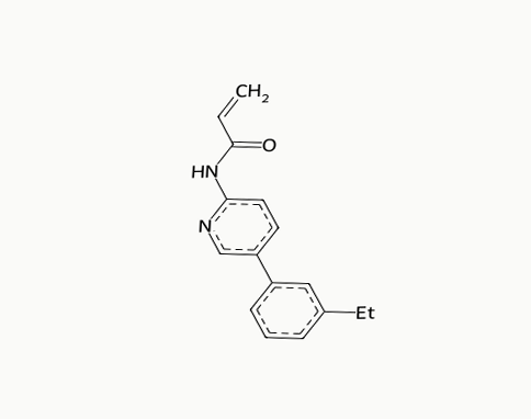 C=CC(=O)Nc1ccc(-c2cccc(CC)c2)cn1